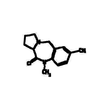 CN1C(=O)C2CCCN2Cc2cc(C#N)ccc21